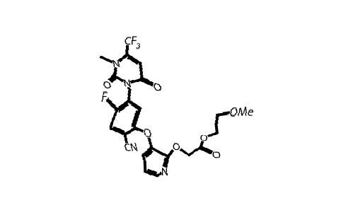 COCCOC(=O)COc1ncccc1Oc1cc(-n2c(=O)cc(C(F)(F)F)n(C)c2=O)c(F)cc1C#N